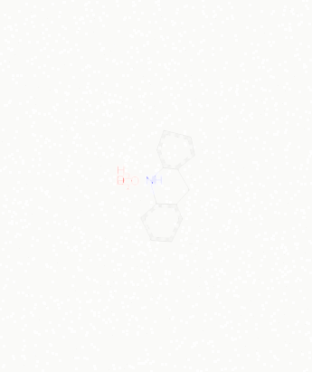 O.O.c1ccc2c(c1)Cc1ccccc1N2